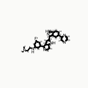 CN(C)CCNc1cc(F)cc(-c2nccc3[nH]c(-c4n[nH]c5ccc(-c6cnccn6)cc45)cc23)c1